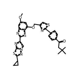 COc1cc(OCc2csc(-c3ccc(C(=O)CC(C)(C)C)cc3)n2)c2sc(-c3cn4nc(C5CC5)sc4n3)nc2c1